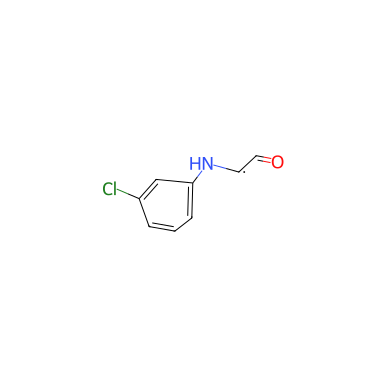 O=C[CH]Nc1cccc(Cl)c1